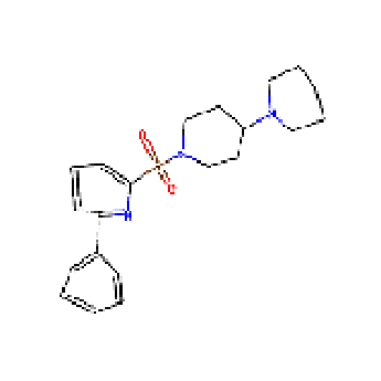 O=S(=O)(c1cccc(-c2ccccc2)n1)N1CCC(N2CCCCC2)CC1